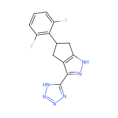 Fc1cccc(F)c1C1Cc2[nH]nc(-c3nnn[nH]3)c2C1